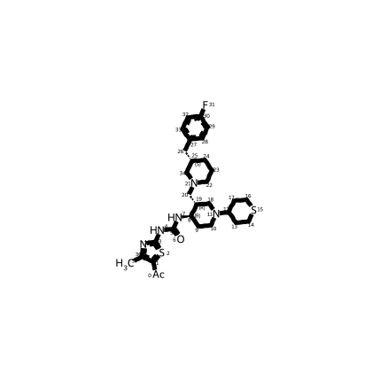 CC(=O)c1sc(NC(=O)N[C@@H]2CCN(C3CCSCC3)C[C@H]2CN2CCC[C@@H](Cc3ccc(F)cc3)C2)nc1C